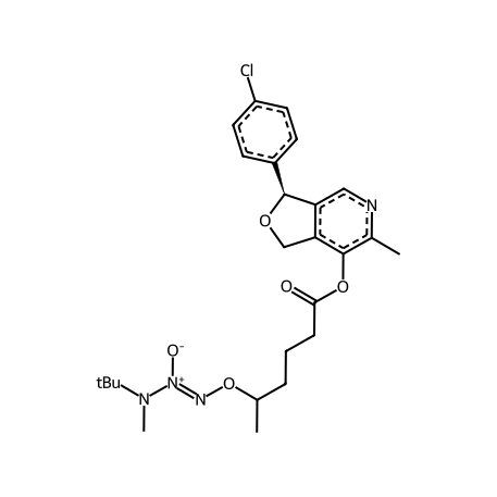 Cc1ncc2c(c1OC(=O)CCCC(C)O/N=[N+](\[O-])N(C)C(C)(C)C)CO[C@H]2c1ccc(Cl)cc1